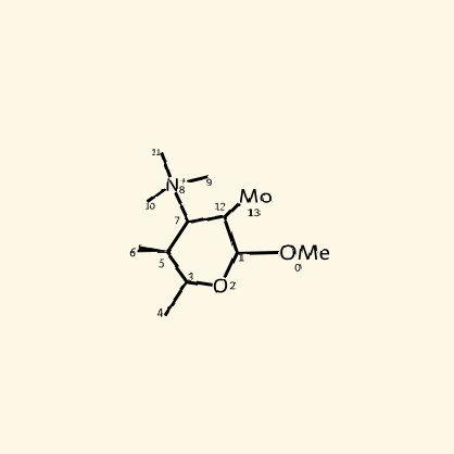 COC1OC(C)[C@@H](C)C([N+](C)(C)C)[CH]1[Mo]